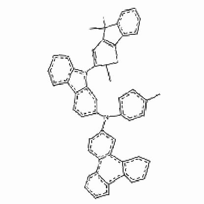 Cc1ccc(N(c2ccc3c4ccccc4c4ccccc4c3c2)c2ccc3c4ccccc4n(C4=CC5=C(CC4C)c4ccccc4C5(C)C)c3c2)cc1